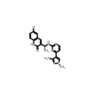 Cc1nn(C)cc1-c1ccnc(N[C@@H](C)c2cc3cc(Cl)ccc3[nH]c2=O)n1